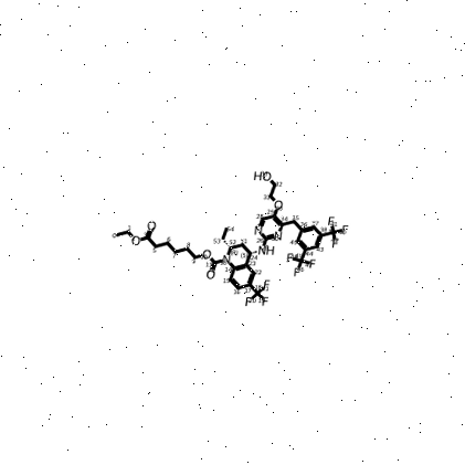 CCOC(=O)CCCCCOC(=O)N1c2ccc(C(F)(F)F)cc2[C@@H](Nc2ncc(OCCO)c(Cc3cc(C(F)(F)F)cc(C(F)(F)F)c3)n2)C[C@H]1CC